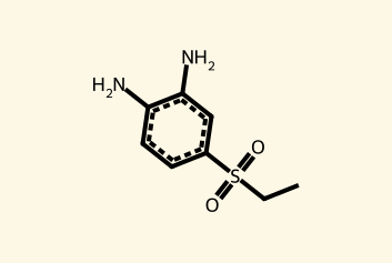 CCS(=O)(=O)c1ccc(N)c(N)c1